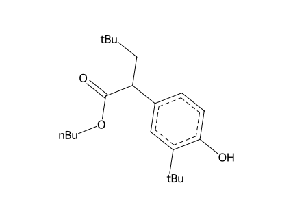 CCCCOC(=O)C(CC(C)(C)C)c1ccc(O)c(C(C)(C)C)c1